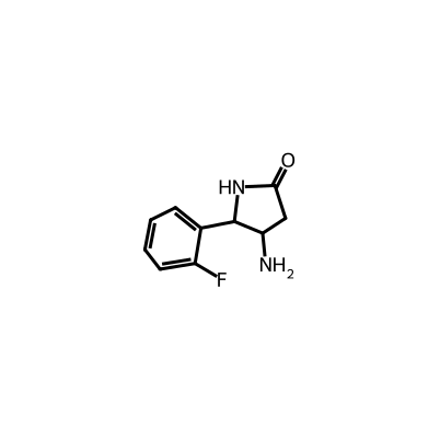 NC1CC(=O)NC1c1ccccc1F